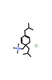 CC(C)CC1=CCC(CC(C)C)(C[N+](C)(C)C)C=C1.[Cl-]